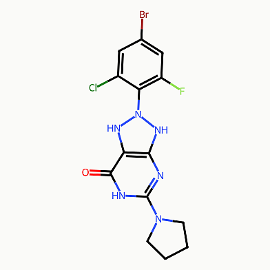 O=c1[nH]c(N2CCCC2)nc2c1NN(c1c(F)cc(Br)cc1Cl)N2